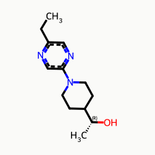 CCc1cnc(N2CCC([C@@H](C)O)CC2)cn1